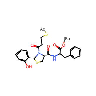 CC(=O)SCCC(=O)N1[C@@H](c2ccccc2O)SC[C@H]1C(=O)NC(Cc1ccccc1)C(=O)OC(C)(C)C